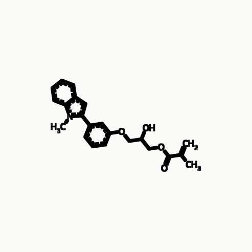 C=C(C)C(=O)OCC(O)COc1cccc(-c2cc3ccccc3n2C)c1